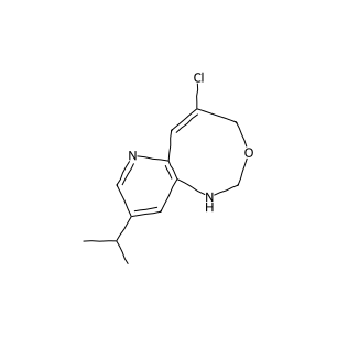 CC(C)c1cnc2c(c1)NCOC/C(Cl)=C\2